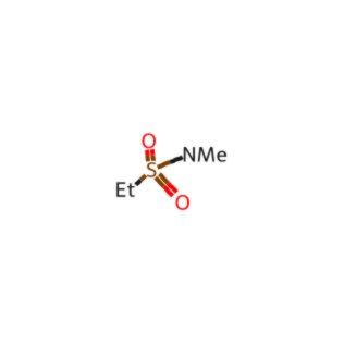 [CH2]CS(=O)(=O)NC